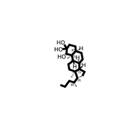 CCC[C@@H](C)[C@H]1CC[C@H]2[C@@H]3CC[C@@H]4CCC(O)(O)[C](O)[C@]4(C)[C@H]3CC[C@]12C